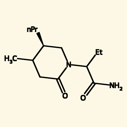 CCC[C@H]1CN(C(CC)C(N)=O)C(=O)CC1C